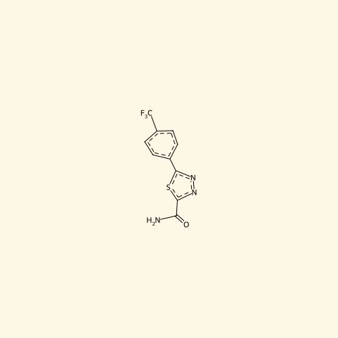 NC(=O)c1nnc(-c2ccc(C(F)(F)F)cc2)s1